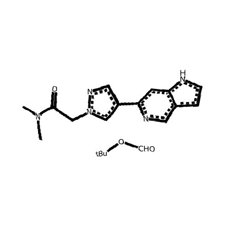 CC(C)(C)OC=O.CN(C)C(=O)Cn1cc(-c2cc3[nH]ccc3cn2)cn1